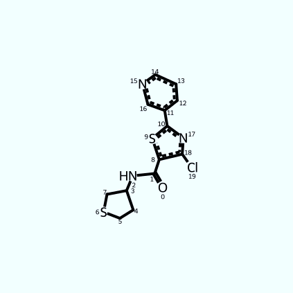 O=C(NC1CCSC1)c1sc(-c2cccnc2)nc1Cl